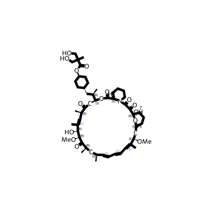 CO[C@H]1C[C@@H]2CC[C@@H](C)[C@@](O)(O2)C(=O)C(=O)N2CCCC[C@H]2C(=O)O[C@H]([C@H](C)C[C@H]2CC[C@H](OC(=O)C(C)(CO)CO)CC2)CC(=O)[C@H](C)/C=C(\C)[C@@H](O)[C@@H](OC)C(=O)[C@H](C)C[C@H](C)/C=C/C=C/C=C/1C